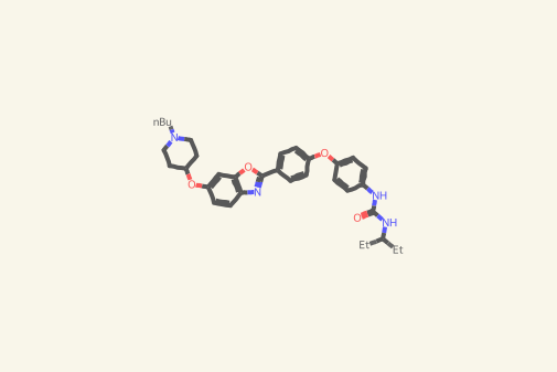 CCCCN1CCC(Oc2ccc3nc(-c4ccc(Oc5ccc(NC(=O)NC(CC)CC)cc5)cc4)oc3c2)CC1